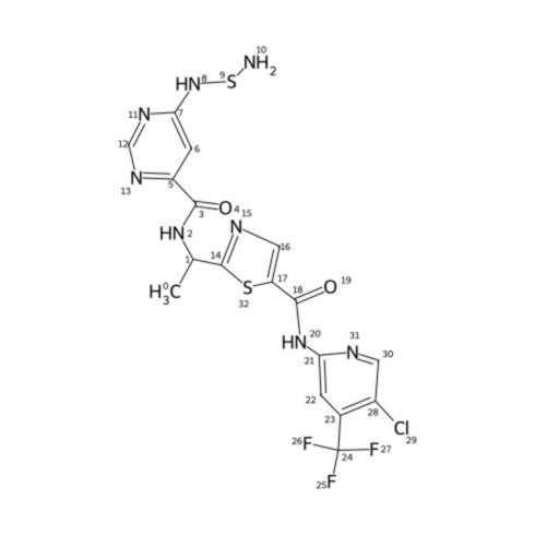 CC(NC(=O)c1cc(NSN)ncn1)c1ncc(C(=O)Nc2cc(C(F)(F)F)c(Cl)cn2)s1